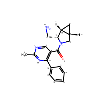 Cc1ncc(C(=O)N2C[C@H]3C[C@H]3[C@H]2CN)c(-c2ccccc2)n1